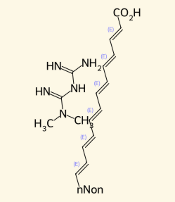 CCCCCCCCC/C=C/C=C/C=C/C=C/C=C/C=C/C(=O)O.CN(C)C(=N)NC(=N)N